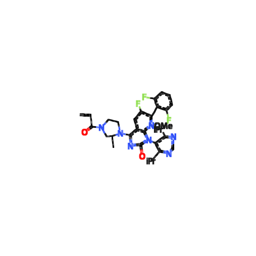 C=CC(=O)N1CCN(c2nc(=O)n(-c3c(C(C)C)ncnc3C(C)C)c3c2cc(F)c(-c2c(F)cccc2F)[n+]3OC)C(C)C1